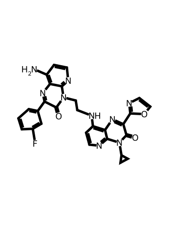 Nc1ccnc2c1nc(-c1cccc(F)c1)c(=O)n2CCNc1ccnc2c1nc(-c1ncco1)c(=O)n2C1CC1